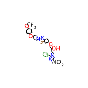 O=[N+]([O-])c1cn(CC[C@@H](O)COc2ccc3nc(N4CCC(Oc5ccc(OC(F)(F)F)cc5)CC4)sc3c2)c(Cl)n1